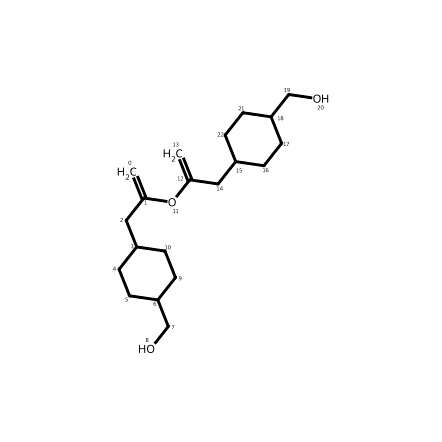 C=C(CC1CCC(CO)CC1)OC(=C)CC1CCC(CO)CC1